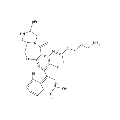 C=C/C(O)=C\C(=C1/CC=CC=C1CC)c1cc2c(c(/N=C(\C)OCCCN)c1F)C(=C)N1CC(CCC)NCC1CO2